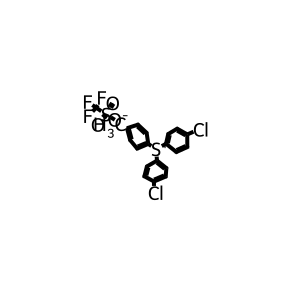 Cc1ccc([S+](c2ccc(Cl)cc2)c2ccc(Cl)cc2)cc1.O=S(=O)([O-])C(F)(F)F